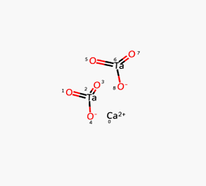 [Ca+2].[O]=[Ta](=[O])[O-].[O]=[Ta](=[O])[O-]